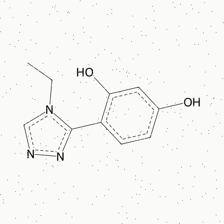 CCn1cnnc1-c1ccc(O)cc1O